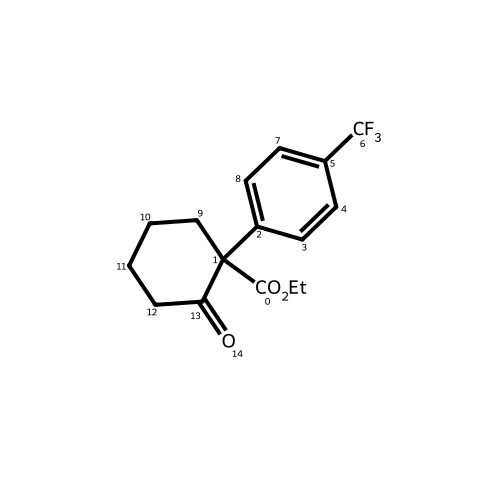 CCOC(=O)C1(c2ccc(C(F)(F)F)cc2)CCCCC1=O